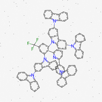 FC(F)(F)c1cc(-n2c3ccc(-n4c5ccccc5c5ccccc54)cc3c3cc(-n4c5ccccc5c5ccccc54)ccc32)c(-c2cccc(-c3ccccc3)n2)c(-n2c3ccc(-n4c5ccccc5c5ccccc54)cc3c3cc(-n4c5ccccc5c5ccccc54)ccc32)c1